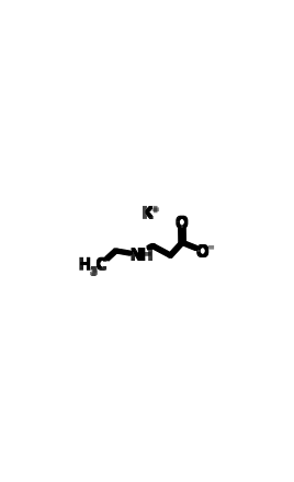 CCNCCC(=O)[O-].[K+]